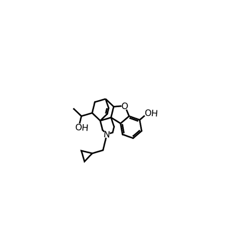 CC(O)C1CC2C=CC13CN(CC1CC1)CCC31c3cccc(O)c3OC21